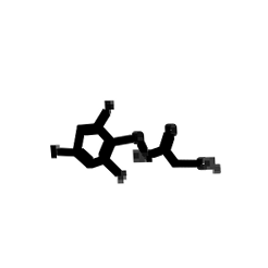 CCC(=O)NOc1c(F)cc(F)cc1F